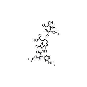 C=C1NN(C)C(SCC2=C(C(=O)O)N3C(=O)[C@@H](NC(=O)/C(=N\OC)c4csc(N)n4)[C@H]3SC2)=NC1=O